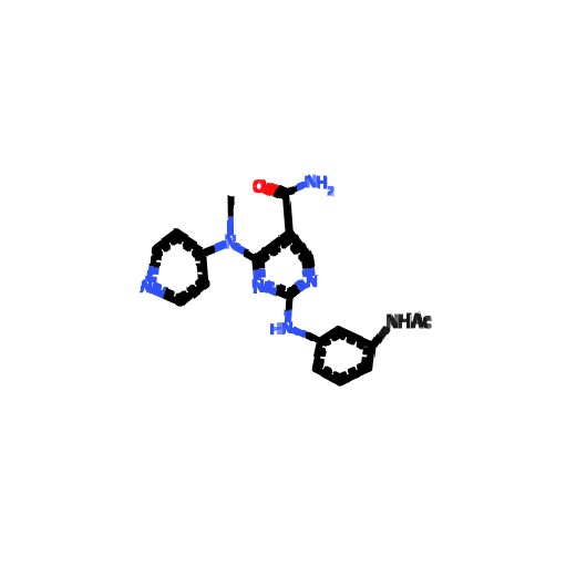 CC(=O)Nc1cccc(Nc2ncc(C(N)=O)c(N(C)c3ccncc3)n2)c1